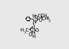 Cc1cn(CCN(CC(=O)OC(C)(C)C)Cc2ccccc2)c(=O)[nH]c1=O